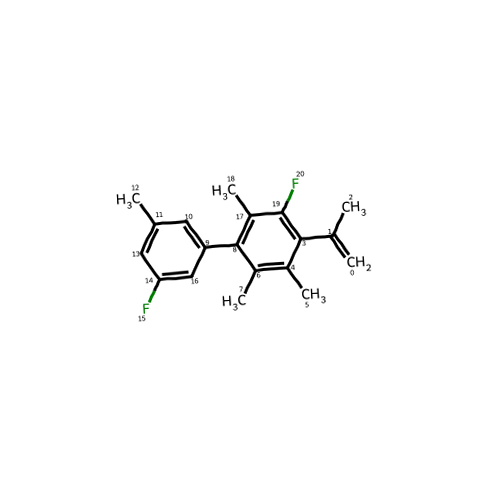 C=C(C)c1c(C)c(C)c(-c2cc(C)cc(F)c2)c(C)c1F